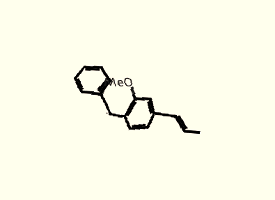 CC=Cc1ccc([CH]c2ccccc2)c(OC)c1